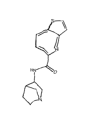 O=C(NC1CN2CCC1C2)c1ccc2sccc2n1